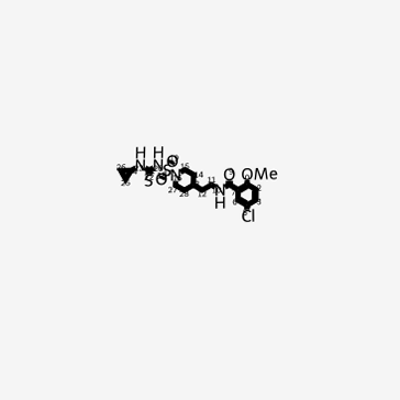 COc1ccc(Cl)cc1C(=O)NCCC1CCN(S(=O)(=O)NC(=S)NC2CC2)CC1